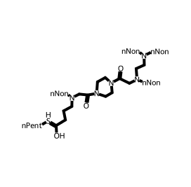 CCCCCCCCCN(CCCCCCCCC)CCN(CCCCCCCCC)CC(=O)N1CCN(C(=O)CN(CCCCCCCCC)CCCC(O)=[SH]CCCCC)CC1